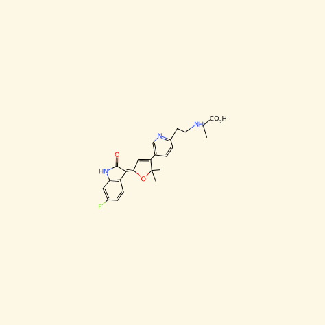 CC(NCCc1ccc(C2=C/C(=C3\C(=O)Nc4cc(F)ccc43)OC2(C)C)cn1)C(=O)O